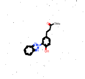 COC(=O)CCc1ccc(O)c(-n2nc3ccccc3n2)c1